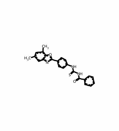 Cc1cc(C)c2oc(-c3ccc(NC(=S)NC(=O)c4ccccc4)cc3)nc2c1